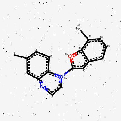 Cc1ccc2c(c1)ncc[n+]2-c1cc2cccc(C(C)C)c2o1